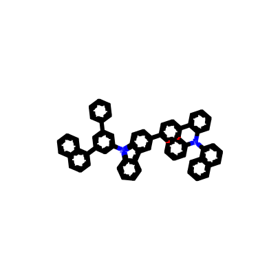 c1ccc(-c2cc(-c3cccc4ccccc34)cc(-n3c4ccccc4c4cc(-c5ccc(-c6ccccc6N(c6ccccc6)c6cccc7ccccc67)cc5)ccc43)c2)cc1